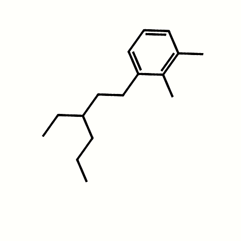 CCCC(CC)CCc1cccc(C)c1C